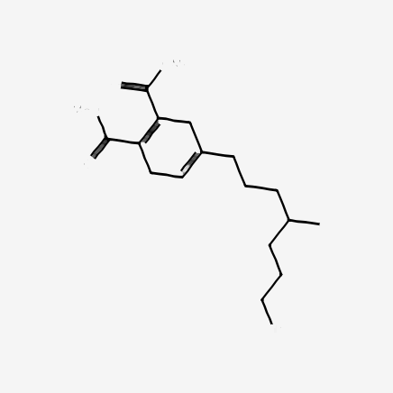 COC(=O)C1=C(C(=O)OC)CC(CCCC(C)CCCC(C)C)=CC1